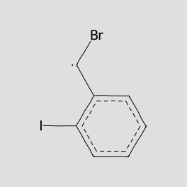 Br[CH]c1ccccc1I